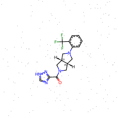 O=C(c1nc[nH]n1)N1C[C@@H]2CN(c3ccccc3C(F)(F)F)C[C@@H]2C1